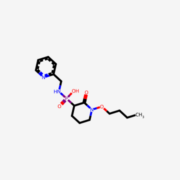 CCCCON1CCCC(P(=O)(O)NCc2ccccn2)C1=O